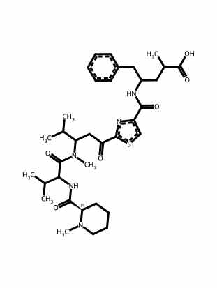 CC(CC(Cc1ccccc1)NC(=O)c1csc(C(=O)CC(C(C)C)N(C)C(=O)C(NC(=O)[C@H]2CCCCN2C)C(C)C)n1)C(=O)O